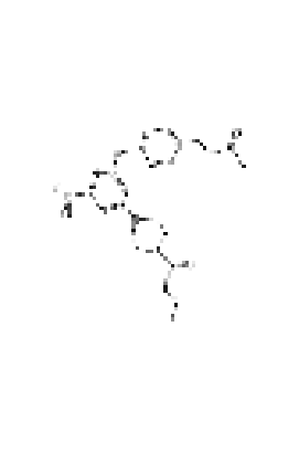 CCOC(=O)C1CCN(c2cc(Oc3ccc(CCC(C)=O)cc3)nc([N+](=O)[O-])n2)CC1